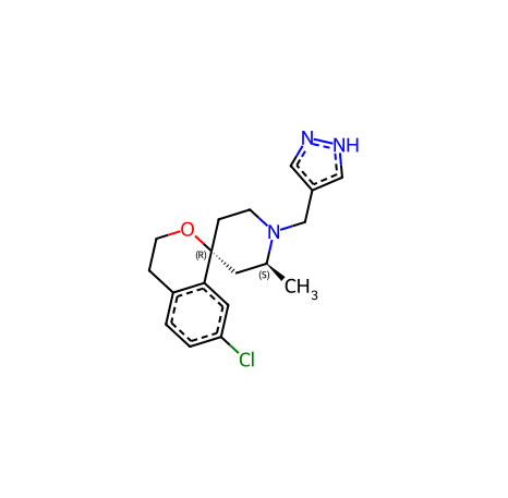 C[C@H]1C[C@@]2(CCN1Cc1cn[nH]c1)OCCc1ccc(Cl)cc12